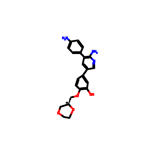 Nc1ccc(-c2cc(-c3ccc(OC[C@H]4COCCO4)c(O)c3)cnc2N)cc1